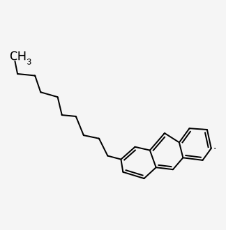 CCCCCCCCCCc1ccc2cc3c[c]ccc3cc2c1